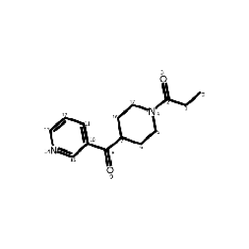 CCC(=O)N1CCC(C(=O)c2cccnc2)CC1